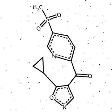 CS(=O)(=O)c1ccc(C(=O)c2cnoc2C2CC2)nc1